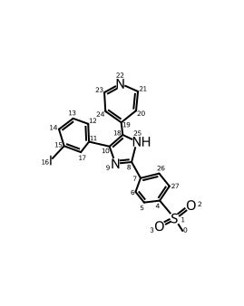 CS(=O)(=O)c1ccc(-c2nc(-c3cccc(I)c3)c(-c3ccncc3)[nH]2)cc1